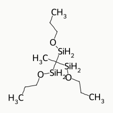 CCCO[SiH2]C(C)([SiH2]OCCC)[SiH2]OCCC